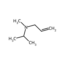 C=CCN(C)C(C)C